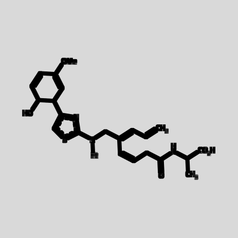 C=C/C=C(\C=C/CC(=O)NC(C)C(=O)O)CN(CC)c1nc(C2C=C(OC)C=CC2O)cs1